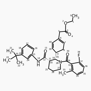 CCOC(=O)CC1=CCC([C@H]2[C@@H](C(=O)Nc3cccc(C(C)(C)C)c3)CCCN2C(=O)c2c(C)cccc2F)C=C1